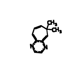 CC1(C)C=CC=c2nccnc2=C1